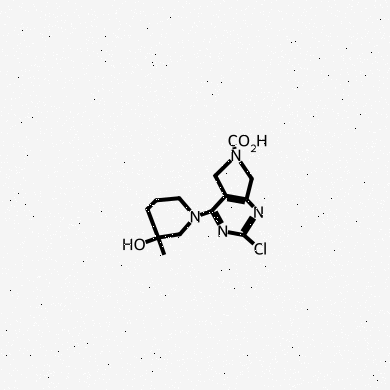 CC1(O)CCCN(c2nc(Cl)nc3c2CN(C(=O)O)C3)C1